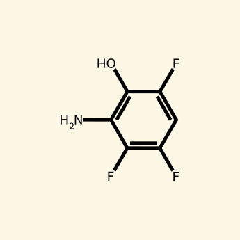 Nc1c(O)c(F)cc(F)c1F